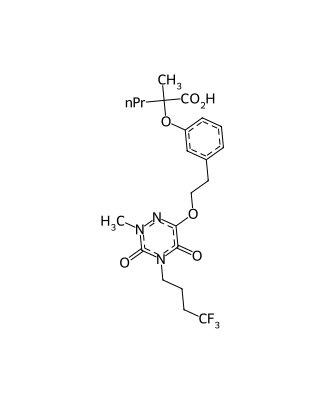 CCCC(C)(Oc1cccc(CCOc2nn(C)c(=O)n(CCCC(F)(F)F)c2=O)c1)C(=O)O